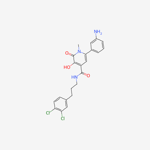 Cn1c(-c2cccc(N)c2)cc(C(=O)NCCCc2ccc(Cl)c(Cl)c2)c(O)c1=O